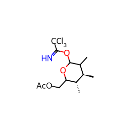 CC(=O)OCC1OC(OC(=N)C(Cl)(Cl)Cl)C(C)[C@@H](C)[C@@H]1C